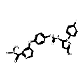 CCN(C)C(=O)c1cc(Oc2ccc(NC(=O)Nc3cc(C(C)(C)C)nn3-c3ccc(F)cc3)cc2)ccn1